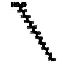 CCCCCCC=CCCCCCCCCCCCCC(=O)O